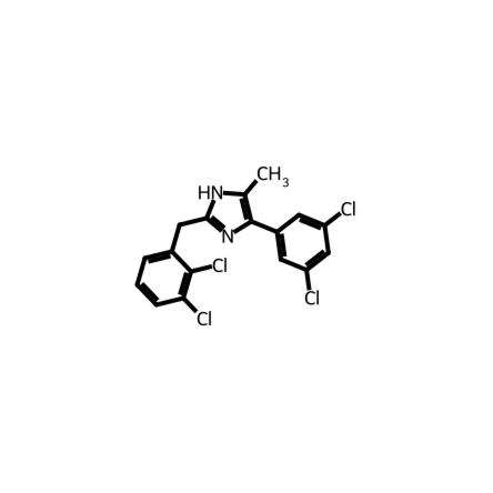 Cc1[nH]c(Cc2cccc(Cl)c2Cl)nc1-c1cc(Cl)cc(Cl)c1